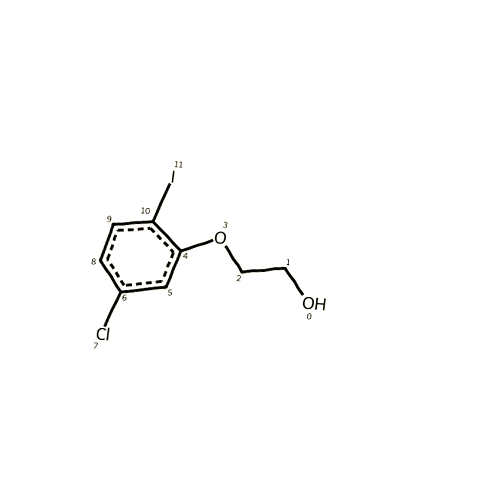 OCCOc1cc(Cl)ccc1I